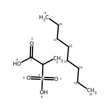 CC(C(=O)O)S(=O)(=O)O.CCCCCCCC